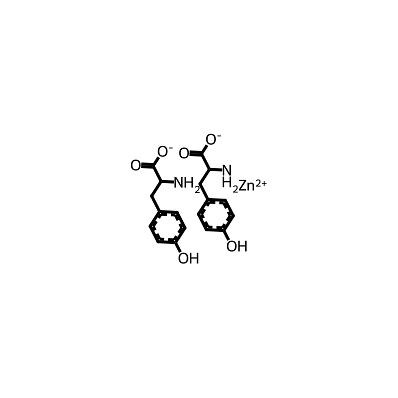 NC(Cc1ccc(O)cc1)C(=O)[O-].NC(Cc1ccc(O)cc1)C(=O)[O-].[Zn+2]